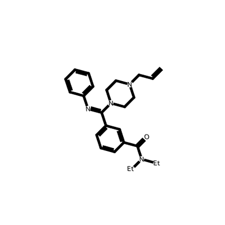 C=CCN1CCN(/C(=N\c2ccccc2)c2cccc(C(=O)N(CC)CC)c2)CC1